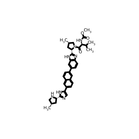 COC(=O)N[C@H](C(=O)N1C[C@@H](C)C[C@H]1c1nc2ccc(-c3ccc4cc(-c5cnc([C@@H]6C[C@H](C)CN6)[nH]5)ccc4c3)cc2[nH]1)C(C)C